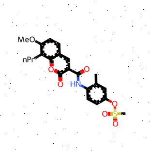 CCCc1c(OC)ccc2cc(C(=O)Nc3ccc(OS(C)(=O)=O)cc3C)c(=O)oc12